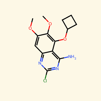 COc1cc2nc(Cl)nc(N)c2c(OC2CCC2)c1OC